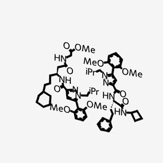 COC(=O)CNC(=O)C[C@H](CCCC1CCCCC1)NC(=O)c1cc(-c2c(OC)cccc2OC)n(CC(C)C)n1.COc1cccc(OC)c1-c1cc(C(=O)N[C@@H](CCc2ccccc2)C(=O)NC2CCC2)nn1CC(C)C